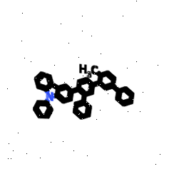 CC1C=CC(c2ccccc2)=CC1c1ccc(-c2ccc3c(c2)c2ccccc2n3-c2ccccc2)c(-c2ccccc2)c1